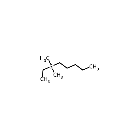 C[CH][Si](C)(C)CCCCC